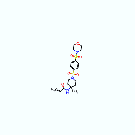 C=CC(=O)NC1(C)CCN(S(=O)(=O)c2ccc(S(=O)(=O)N3CCOCC3)cc2)CC1